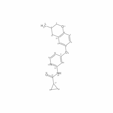 CC1COc2ccc(Oc3ccnc(NC(=O)C4CC4)c3)cc2C1